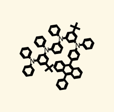 CC(C)(C)c1cc(N(c2ccccc2)c2ccccc2)cc(N(c2ccccc2)c2cccc(N(c3ccccc3)c3cc(N(c4ccccc4)c4ccc(-c5c6ccccc6c(-c6ccccc6)c6ccccc56)cc4)cc(C(C)(C)C)c3)c2)c1